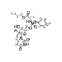 CCCCOC(=O)[C@H](C)NP(=O)(OC[C@H]1O[C@@H](n2ccc(=O)[nH]c2=O)[C@](C)(F)[C@@H]1O)Oc1ccc(C)cc1